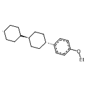 CCOc1ccc([C@H]2CC[C@H](C3CC[CH]CC3)CC2)cc1